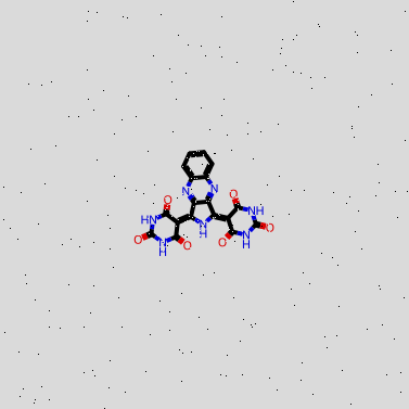 O=C1NC(=O)C(=c2[nH]c(=C3C(=O)NC(=O)NC3=O)c3nc4ccccc4nc23)C(=O)N1